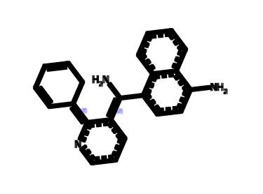 N/C(c1ccc(N)c2ccccc12)=c1/cccn/c1=C1\C=CC=CC1